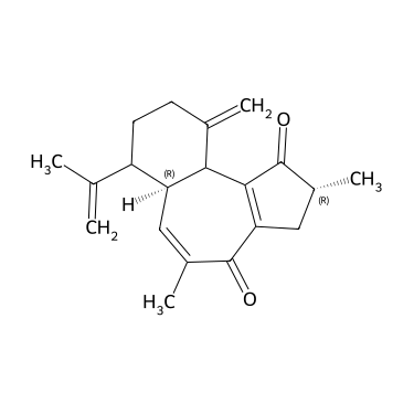 C=C(C)C1CCC(=C)C2C3=C(C[C@@H](C)C3=O)C(=O)C(C)=C[C@@H]12